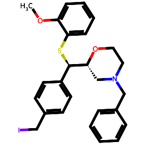 COc1ccccc1S[C@H](c1ccc(CI)cc1)[C@H]1CN(Cc2ccccc2)CCO1